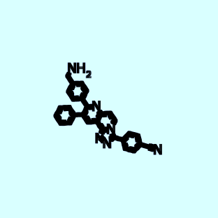 N#Cc1ccc(-c2nnc3c4cc(-c5ccccc5)c(-c5ccc(CN)cc5)nc4ccn23)cc1